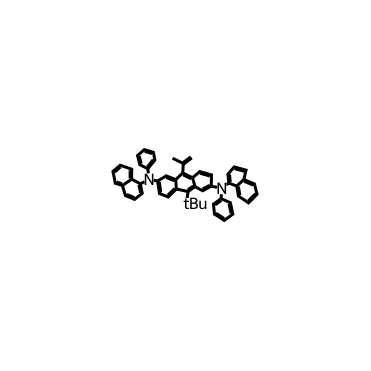 C=C(C)c1c2cc(N(c3ccccc3)c3cccc4ccccc34)ccc2c(C(C)(C)C)c2cc(N(c3ccccc3)c3cccc4ccccc34)ccc12